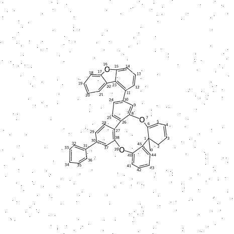 CC12CC=CC=C1Oc1cc(-c3cccc4oc5ccccc5c34)ccc1-c1ccc(-c3ccccc3)cc1Oc1ccccc12